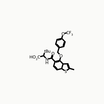 CC1=CC2C(OCc3ccc(OC(F)(F)F)cc3)=C(C(=O)NC(C(=O)O)C(C)(C)C)C=CC2S1